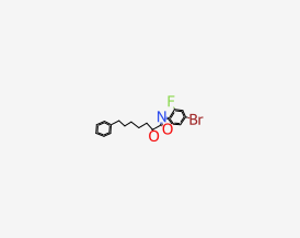 O=C(CCCCCc1ccccc1)c1nc2c(F)cc(Br)cc2o1